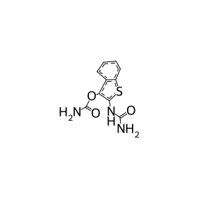 NC(=O)Nc1sc2ccccc2c1OC(N)=O